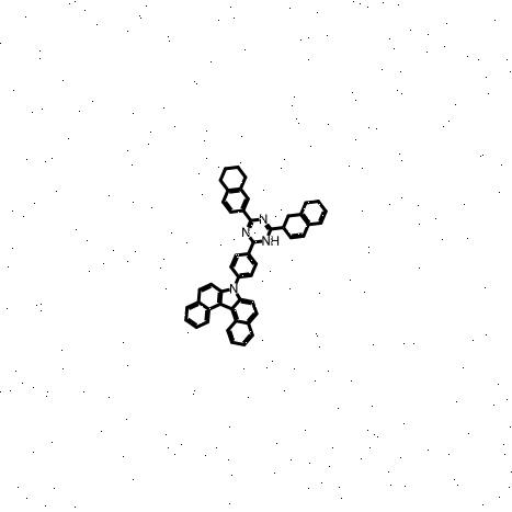 C1=CC2=C(CC1)CC(C1=NC(c3ccc4c(c3)CCCC4)=NC(c3ccc(-n4c5ccc6ccccc6c5c5c6ccccc6ccc54)cc3)N1)C=C2